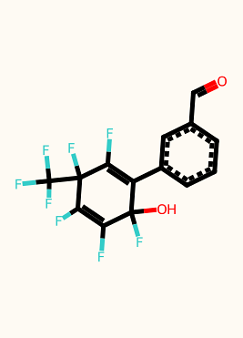 O=Cc1cccc(C2=C(F)C(F)(C(F)(F)F)C(F)=C(F)C2(O)F)c1